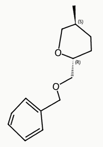 C[C@H]1CC[C@H](COCc2ccccc2)OC1